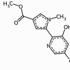 COC(=O)c1cc(-c2ncc(Cl)cc2O)n(C)c1